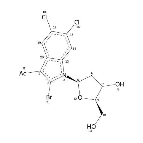 CC(=O)c1c(Br)n([C@H]2CC(O)[C@@H](CO)O2)c2cc(Cl)c(Cl)cc12